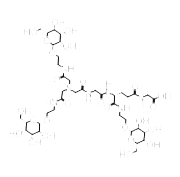 O=C(O)CNC(=O)CC[C@H](NC(=O)CNC(=O)CN(CC(=O)NCCO[C@H]1O[C@H](CO)[C@@H](O)[C@H](O)[C@@H]1O)CC(=O)NCCO[C@H]1O[C@H](CO)[C@@H](O)[C@H](O)[C@@H]1O)C(=O)NCCO[C@H]1O[C@H](CO)[C@@H](O)[C@H](O)[C@@H]1O